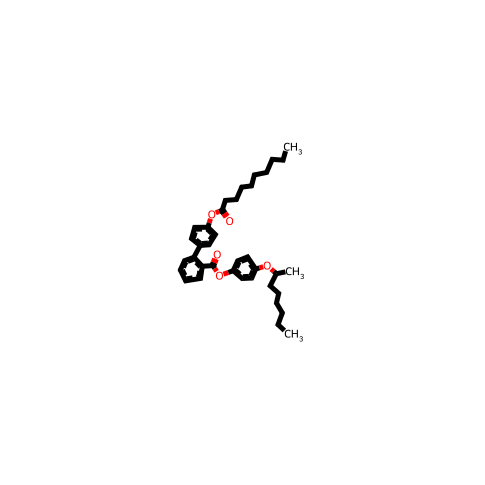 CCCCCCCCCC(=O)Oc1ccc(-c2ccccc2C(=O)Oc2ccc(OC(C)CCCCCC)cc2)cc1